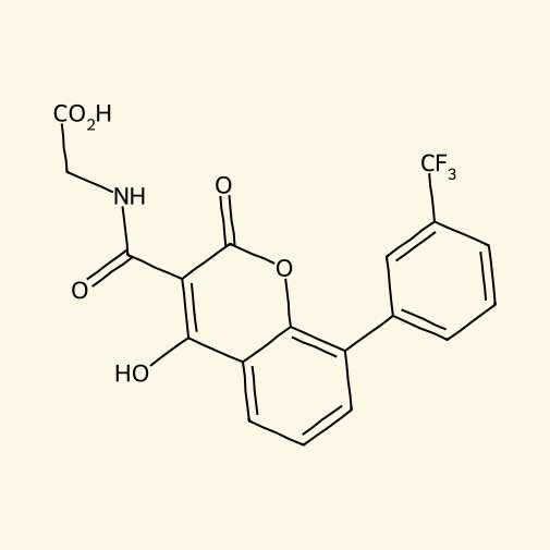 O=C(O)CNC(=O)c1c(O)c2cccc(-c3cccc(C(F)(F)F)c3)c2oc1=O